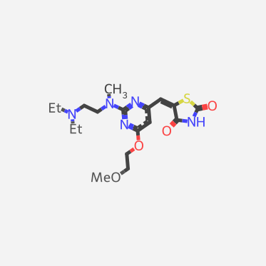 CCN(CC)CCN(C)c1nc(C=C2SC(=O)NC2=O)cc(OCCOC)n1